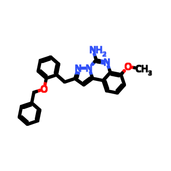 COc1cccc2c1nc(N)n1nc(Cc3ccccc3OCc3ccccc3)cc21